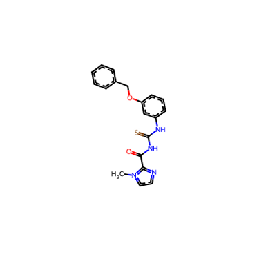 Cn1ccnc1C(=O)NC(=S)Nc1cccc(OCc2ccccc2)c1